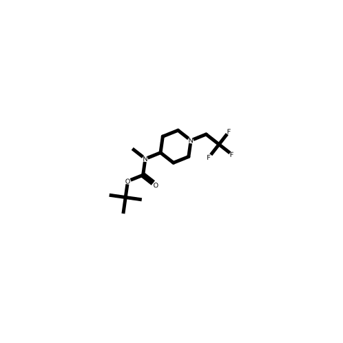 CN(C(=O)OC(C)(C)C)C1CCN(CC(F)(F)F)CC1